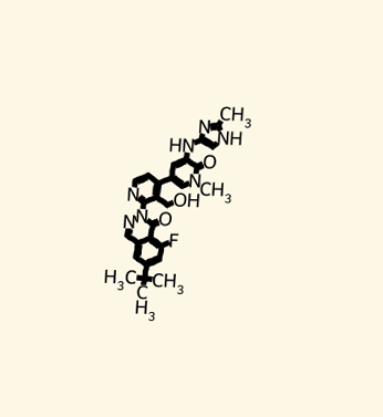 Cc1nc(Nc2cc(-c3ccnc(-n4ncc5cc(C(C)(C)C)cc(F)c5c4=O)c3CO)cn(C)c2=O)c[nH]1